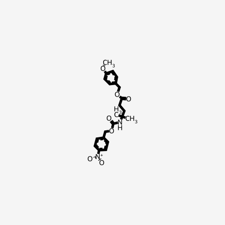 COc1ccc(COC(=O)CCC(C)(C)NC(=O)OCc2ccc([N+](=O)[O-])cc2)cc1